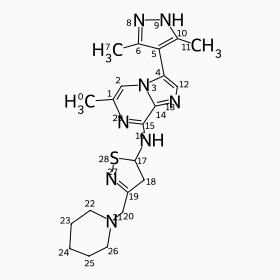 Cc1cn2c(-c3c(C)n[nH]c3C)cnc2c(NC2CC(CN3CCCCC3)=NS2)n1